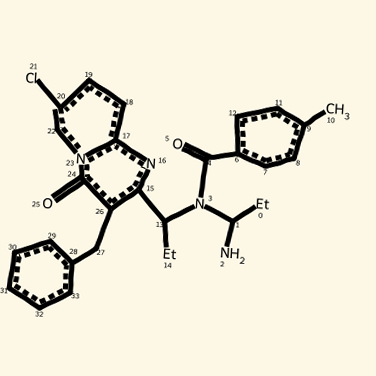 CCC(N)N(C(=O)c1ccc(C)cc1)C(CC)c1nc2ccc(Cl)cn2c(=O)c1Cc1ccccc1